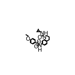 CCOc1ccc(S(=O)(=O)Nc2ccc3c(c2)N(C(=O)NC2CC2)CCC3)cc1